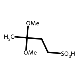 COC(C)(CCS(=O)(=O)O)OC